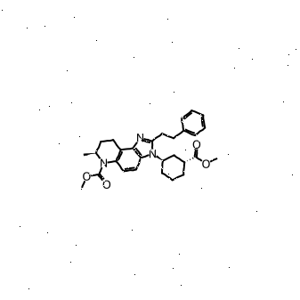 COC(=O)[C@@H]1CCC[C@@H](n2c(CCc3ccccc3)nc3c4c(ccc32)N(C(=O)OC)[C@@H](C)CC4)C1